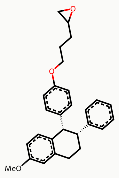 COc1ccc2c(c1)CC[C@@H](c1ccccc1)[C@H]2c1ccc(OCCCC2CO2)cc1